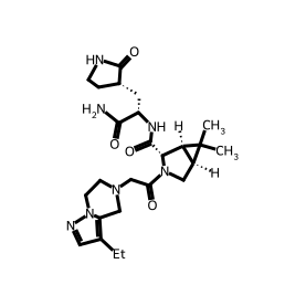 CCc1cnn2c1CN(CC(=O)N1C[C@H]3[C@@H]([C@H]1C(=O)N[C@@H](C[C@@H]1CCNC1=O)C(N)=O)C3(C)C)CC2